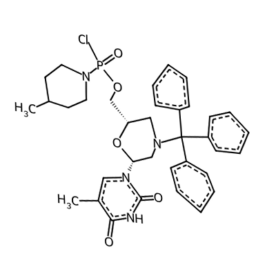 Cc1cn([C@H]2CN(C(c3ccccc3)(c3ccccc3)c3ccccc3)C[C@@H](COP(=O)(Cl)N3CCC(C)CC3)O2)c(=O)[nH]c1=O